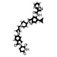 O=C1CCC(N2Cc3cc(N4CC(CN5CCC(n6cc7cc(NC(=O)c8cnn9cccnc89)c(C8CC8)cc7n6)CC5)C4)ccc3C2=O)C(=O)N1